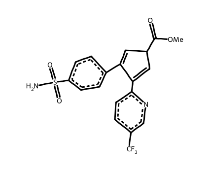 COC(=O)C1C=C(c2ccc(S(N)(=O)=O)cc2)C(c2ccc(C(F)(F)F)cn2)=C1